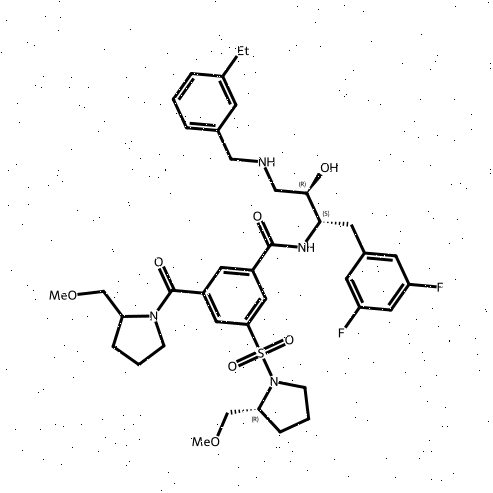 CCc1cccc(CNC[C@@H](O)[C@H](Cc2cc(F)cc(F)c2)NC(=O)c2cc(C(=O)N3CCCC3COC)cc(S(=O)(=O)N3CCC[C@@H]3COC)c2)c1